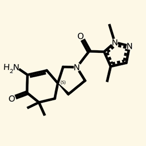 Cc1cnn(C)c1C(=O)N1CC[C@@]2(C=C(N)C(=O)C(C)(C)C2)C1